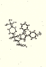 CNC(=NS(=O)(=O)N1CCC(C(F)(F)F)CC1)N1C[C@@H](c2ccccc2)C(c2ccc(Cl)cc2)=N1